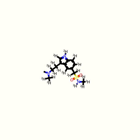 [2H]c1c(C([2H])([2H])S(=O)(=O)N([2H])C([2H])([2H])[2H])c([2H])c2c(C([2H])([2H])C([2H])([2H])N(C)C([2H])([2H])[2H])c([2H])n([2H])c2c1[2H]